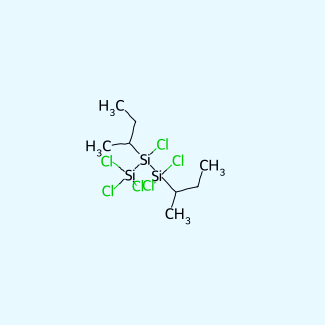 CCC(C)[Si](Cl)(Cl)[Si](Cl)(C(C)CC)[Si](Cl)(Cl)Cl